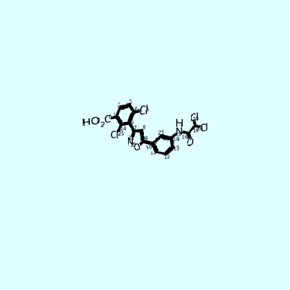 O=C(O)c1ccc(Cl)c(-c2cc(-c3cccc(NC(=O)C(Cl)Cl)c3)on2)c1Cl